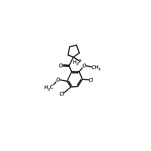 COc1c(Cl)cc(Cl)c(OC)c1C(=O)C1(P)CCCC1